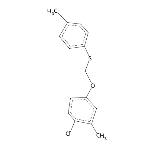 Cc1ccc(SCOc2ccc(Cl)c(C)c2)cc1